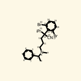 CC(c1ccccc1)N(C)CCCC(C#N)(c1c(Br)cccc1Br)C(C)C